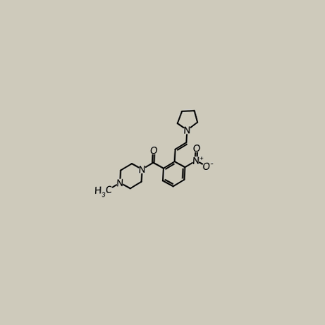 CN1CCN(C(=O)c2cccc([N+](=O)[O-])c2/C=C/N2CCCC2)CC1